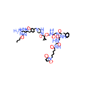 CCCCOc1nc(N)c2[nH]nc(Cc3ccc(CN4CCC(NC(=O)[C@H](OCNC(=O)CNC(=O)[C@H](Cc5ccccc5)NC(=O)CNC(=O)CNC(=O)CCCCCN5C(=O)C=CC5=O)C5CC5)CC4)cc3OC)c2n1